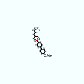 COC1CCC(C2CCC(C3OCC(CCCC(F)(F)F)CO3)CC2)CC1